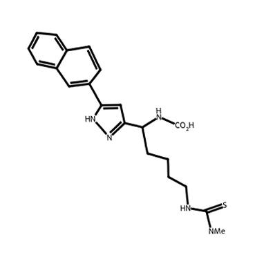 CNC(=S)NCCCCC(NC(=O)O)c1cc(-c2ccc3ccccc3c2)[nH]n1